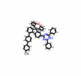 N#Cc1ccc(-c2ccc(-c3cccc4c3-c3ccc(C5=NC(c6ccccc6)NC(c6ccccc6)=N5)cc3C43c4ccccc4Oc4ccccc43)cc2)cc1